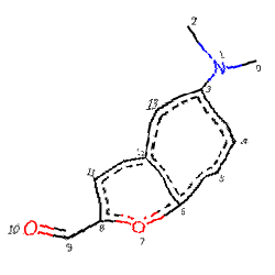 CN(C)c1ccc2oc(C=O)cc2c1